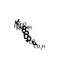 Cc1nnc(NC(=O)N[C@@]23CC[C@]4(C)C(CCC5C6(C)CC[C@H](OC(=O)CC(C)(C)C(=O)O)C(C)(C)C6CC[C@]54C)C2C(C(C)C)C(=O)C3)s1